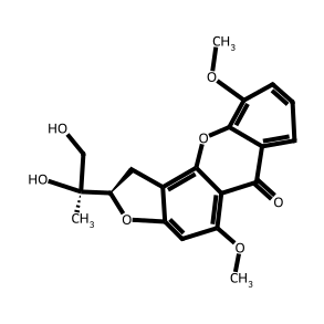 COc1cccc2c(=O)c3c(OC)cc4c(c3oc12)C[C@H]([C@@](C)(O)CO)O4